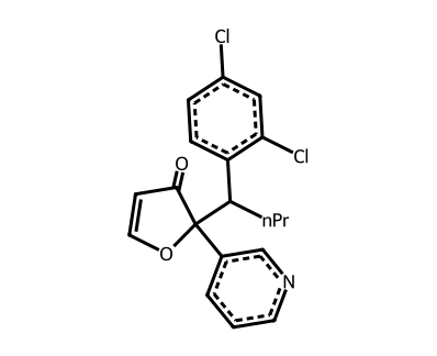 CCCC(c1ccc(Cl)cc1Cl)C1(c2cccnc2)OC=CC1=O